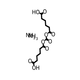 N.N.O=C(O)CCCCC(=O)OC(=O)OC(=O)CCCCC(=O)O